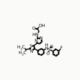 CC(C)c1nc(-c2cccc(NS(=O)(=O)c3cccc(F)c3)c2)c(-c2ccnc(NCC(=O)O)n2)s1